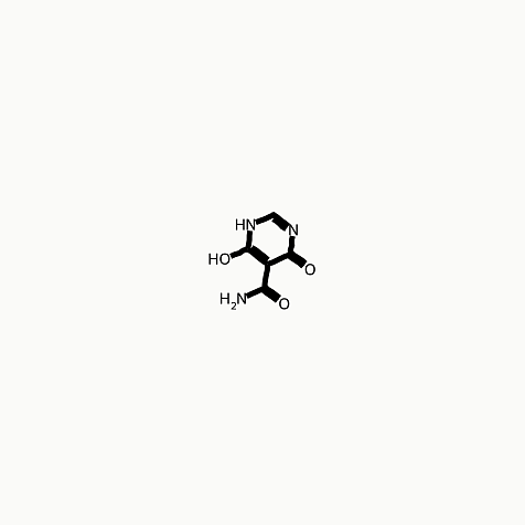 NC(=O)c1c(O)[nH]cnc1=O